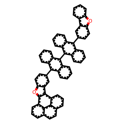 c1ccc2c(c1)oc1ccc(-c3c4ccccc4c(-c4c5ccccc5c(-c5ccc6oc7c8cccc9ccc%10cccc(c7c6c5)c%10c98)c5ccccc45)c4ccccc34)cc12